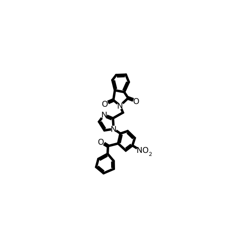 O=C(c1ccccc1)c1cc([N+](=O)[O-])ccc1-n1ccnc1CN1C(=O)c2ccccc2C1=O